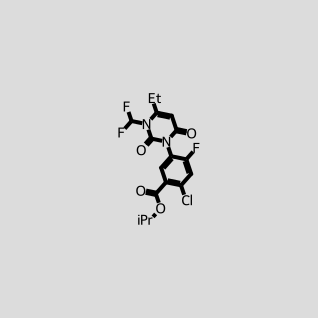 CCc1cc(=O)n(-c2cc(C(=O)OC(C)C)c(Cl)cc2F)c(=O)n1C(F)F